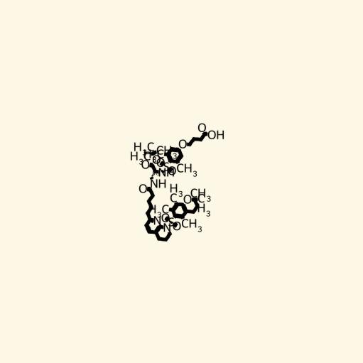 Cc1cc(OCCCC(=O)O)cc(C)c1S(=O)(=O)N[C@H](CNC(=O)CCCCc1ccc2c(n1)N(S(=O)(=O)c1c(C)c(C)c3c(c1C)CCC(C)(C)O3)CCC2)C(=O)OC(C)(C)C